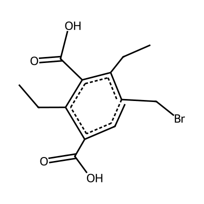 CCc1c(CBr)cc(C(=O)O)c(CC)c1C(=O)O